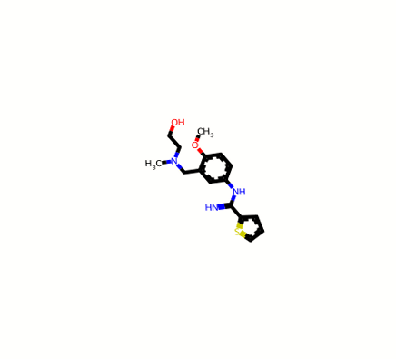 COc1ccc(NC(=N)c2cccs2)cc1CN(C)CCO